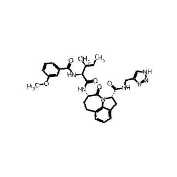 CC[C@H](C)[C@H](NC(=O)c1cccc(OC)c1)C(=O)N[C@H]1CCc2cccc3c2N(C1=O)[C@H](C(=O)NCc1c[nH]nn1)C3